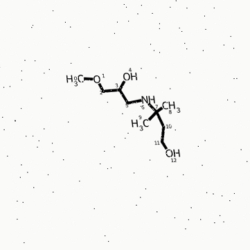 COCC(O)CNC(C)(C)CCO